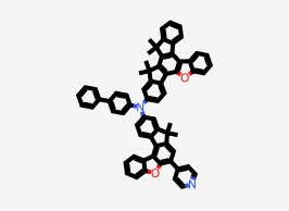 CC1(C)c2cc(N(c3ccc(-c4ccccc4)cc3)c3ccc4c(c3)C(C)(C)c3c5c(c6c(oc7ccccc76)c3-4)-c3ccccc3C5(C)C)ccc2-c2c1cc(-c1ccncc1)c1oc3ccccc3c21